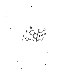 O=c1cc(N[C@@H](C2CC2)C(F)(F)CO)c2cc(Br)c(F)cc2n1CC1CC(F)(F)C1